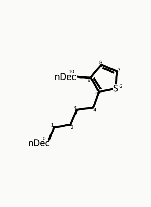 CCCCCCCCCCCCCCc1sccc1CCCCCCCCCC